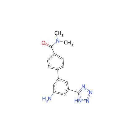 CN(C)C(=O)c1ccc(-c2cc(N)cc(-c3nnn[nH]3)c2)cc1